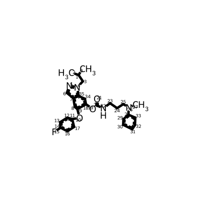 CC(C)Cn1ncc2cc(Oc3ccc(F)cc3)c(OC(=O)NCCCN(C)c3ccccc3)cc21